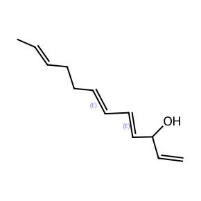 C=CC(O)/C=C/C=C/CCC=CC